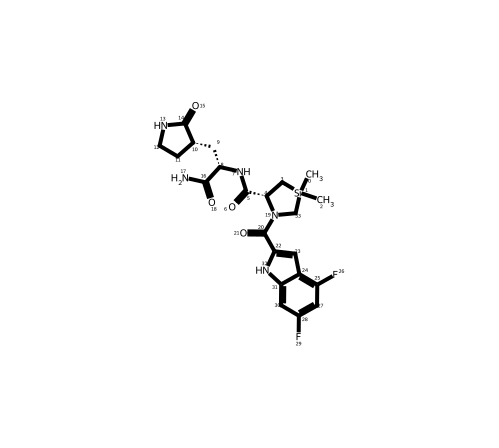 C[Si]1(C)C[C@@H](C(=O)N[C@@H](C[C@@H]2CCNC2=O)C(N)=O)N(C(=O)c2cc3c(F)cc(F)cc3[nH]2)C1